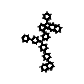 c1ccc(-c2ccc(N(c3ccc(-c4ccc(-c5cccc6ccccc56)cc4)cc3)c3cccc(-c4cccc5c4c4cc6ccccc6cc4n5-c4ccccc4)c3)cc2)cc1